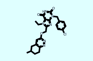 CCn1c(COc2cc3c(nn2)CCC(C)C3)nc2c1c(=O)[nH]c(=O)n2Cc1ccc(Cl)cc1